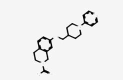 N=C(N)N1CCc2ccc(OCC3CCN(c4ccncc4)CC3)cc2C1